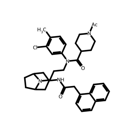 CC(=O)N1CCC(C(=O)N(CCCN2C3CCC2CC(NC(=O)Cc2cccc4ccccc24)C3)c2ccc(C)c(Cl)c2)CC1